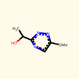 COc1cnc(C(C)O)nn1